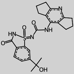 CC(C)(O)c1ccc2c(c1)S(=O)(=NC(=O)Nc1c3c(nc4c1CCC4)CCC3)NC2=O